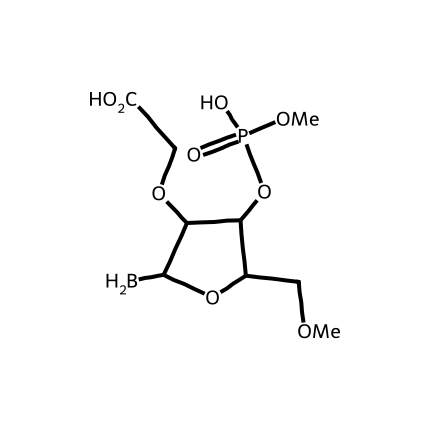 BC1OC(COC)C(OP(=O)(O)OC)C1OCC(=O)O